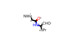 CCCC([C]=O)NC(=O)CNC